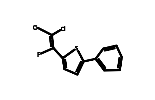 FC(=C(Cl)Cl)c1ccc(-c2ccccc2)s1